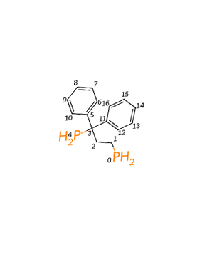 PCCC(P)(c1ccccc1)c1ccccc1